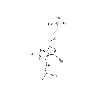 CC(C)CNc1nc(Cl)nc2c1c(C#N)cn2COCC[Si](C)(C)C